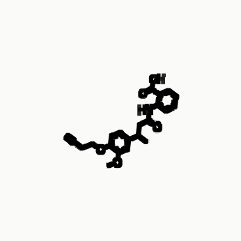 C#CCCOc1ccc(C(C)CC(=O)Nc2ccccc2C(=O)O)cc1OC